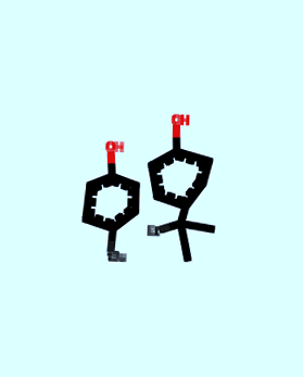 CC(C)(C)c1ccc(O)cc1.CCC(C)(C)c1ccc(O)cc1